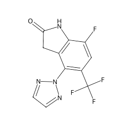 O=C1Cc2c(c(F)cc(C(F)(F)F)c2-n2nccn2)N1